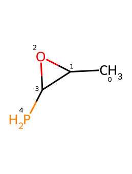 CC1OC1P